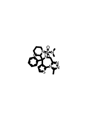 Cc1nnc2n1-c1sccc1C(c1ccccc1Cl)(C1CCCCN1S(=O)(=O)N(C)C)NC2